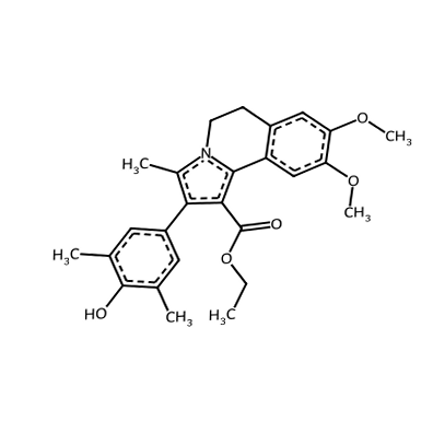 CCOC(=O)c1c(-c2cc(C)c(O)c(C)c2)c(C)n2c1-c1cc(OC)c(OC)cc1CC2